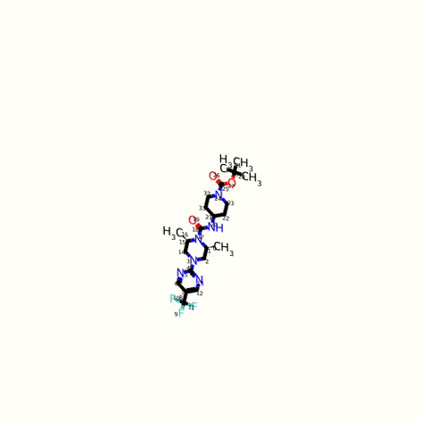 C[C@@H]1CN(c2ncc(C(F)(F)F)cn2)C[C@H](C)N1C(=O)NC1CCN(C(=O)OC(C)(C)C)CC1